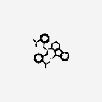 CCC1C2=C(CCC[CH]2[Sc]([CH2]c2ccccc2N(C)C)[CH2]c2ccccc2N(C)C)c2ccccc21